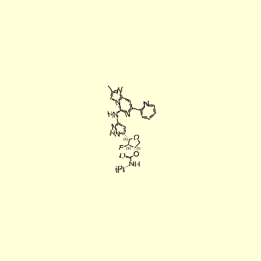 Cc1cn2c(Nc3cc([C@@H]4OC[C@H](OC(=O)NC(C)C)[C@H]4F)[nH]n3)nc(-c3ccccn3)cc2n1